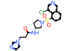 O=C(CCn1ccnc1)N[C@@H]1CCN(S(=O)(=O)c2cccc3cncc(Cl)c23)C1